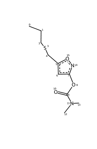 CCCSCc1cc(OC(=O)N(C)C)no1